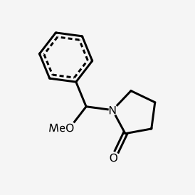 COC(c1ccccc1)N1CCCC1=O